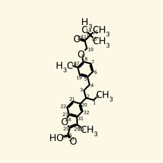 CCC(CCc1ccc(OCC(=O)C(C)(C)C)c(C)c1)c1ccc2oc(C(=O)O)c(C)c2c1